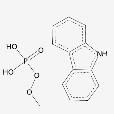 COOP(=O)(O)O.c1ccc2c(c1)[nH]c1ccccc12